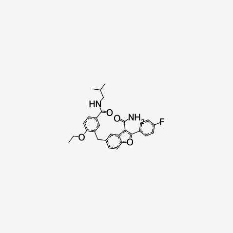 CCOc1ccc(C(=O)NCC(C)C)cc1Cc1ccc2oc(-c3ccc(F)cc3)c(C(N)=O)c2c1